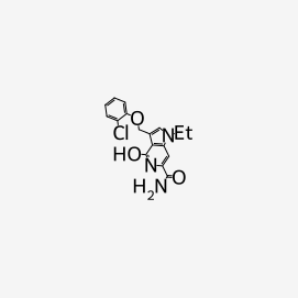 CCn1cc(COc2ccccc2Cl)c2c(O)nc(C(N)=O)cc21